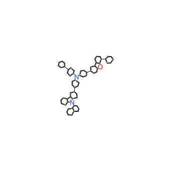 c1ccc(-c2ccc(N(c3ccc(-c4ccc5oc6c(-c7ccccc7)cccc6c5c4)cc3)c3ccc(-c4ccc5c(c4)c4ccccc4n5-c4cccc5ccccc45)cc3)cc2)cc1